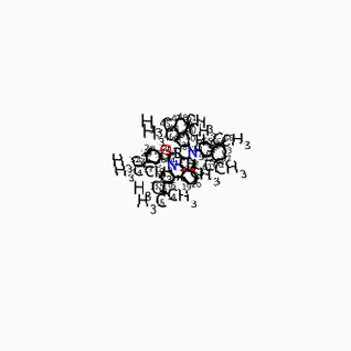 Cc1cc2c3c(c1)N(c1ccc(C(C)(C)C)cc1-c1ccccc1)c1c(oc4ccc(C(C)(C)C)cc14)B3C1=C(CC3C(=C1)C(C)(C)CCC3(C)C)N2c1ccc2c(c1)C(C)(C)CCC2(C)C